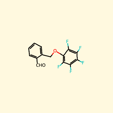 O=Cc1ccccc1COc1c(F)c(F)c(F)c(F)c1F